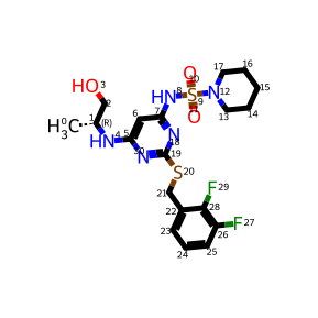 C[C@H](CO)Nc1cc(NS(=O)(=O)N2CCCCC2)nc(SCc2cccc(F)c2F)n1